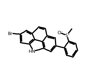 C[S+]([O-])c1ccccc1-c1cc2ccc3cc(Br)cc4[nH]c(c1)c2c34